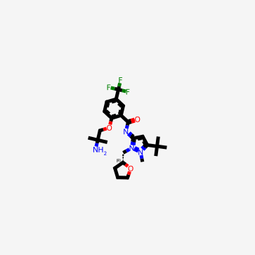 Cn1c(C(C)(C)C)cc(=NC(=O)c2cc(C(F)(F)F)ccc2OCC(C)(C)N)n1C[C@H]1CCCO1